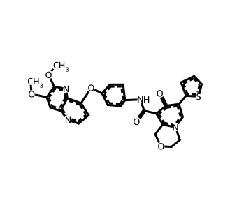 COc1cc2nccc(Oc3ccc(NC(=O)c4c5n(cc(-c6cccs6)c4=O)CCOC5)cc3)c2nc1OC